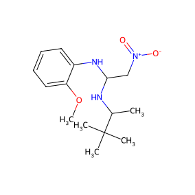 COc1ccccc1NC(C[N+](=O)[O-])NC(C)C(C)(C)C